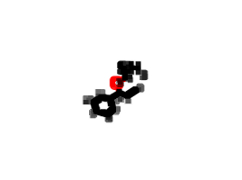 C=CC(OC[SiH3])c1ccccc1